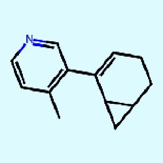 Cc1ccncc1C1=CCCC2CC12